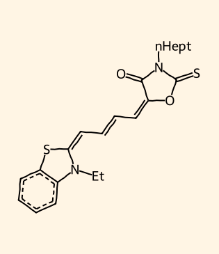 CCCCCCCN1C(=O)C(=CC=CC=C2Sc3ccccc3N2CC)OC1=S